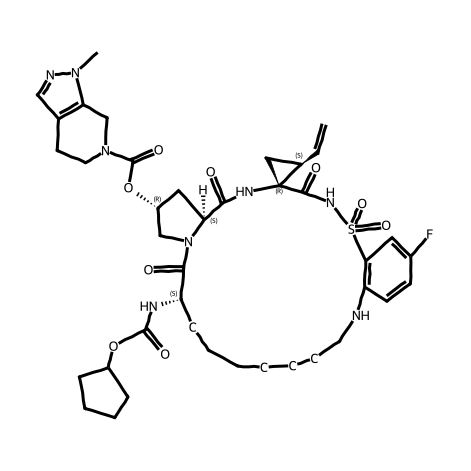 C=C[C@@H]1C[C@@]12NC(=O)[C@@H]1C[C@@H](OC(=O)N3CCc4cnn(C)c4C3)CN1C(=O)[C@@H](NC(=O)OC1CCCC1)CCCCCCCNc1ccc(F)cc1S(=O)(=O)NC2=O